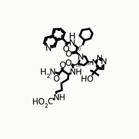 CC(C)(O)c1cnnn1[C@H]1C[C@@H](C(=O)NC(CCCCNC(=O)O)C(=O)C(N)=O)N(C(=O)[C@@H](CC2CCCCC2)NC(=O)c2cccc3ccncc23)C1